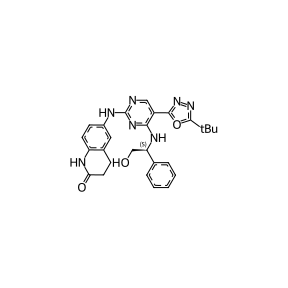 CC(C)(C)c1nnc(-c2cnc(Nc3ccc4c(c3)CCC(=O)N4)nc2N[C@H](CO)c2ccccc2)o1